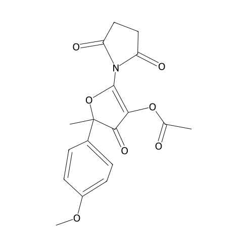 COc1ccc(C2(C)OC(N3C(=O)CCC3=O)=C(OC(C)=O)C2=O)cc1